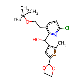 Cc1sc(C2OCCO2)cc1C(O)c1nc(Cl)ccc1CCO[Si](C)(C)C(C)(C)C